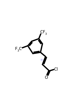 O=C(Cl)/C=C/c1cc(C(F)(F)F)cc(C(F)(F)F)c1